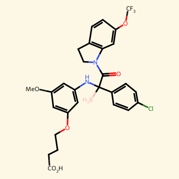 BC(Nc1cc(OC)cc(OCCCC(=O)O)c1)(C(=O)N1CCc2ccc(OC(F)(F)F)cc21)c1ccc(Cl)cc1